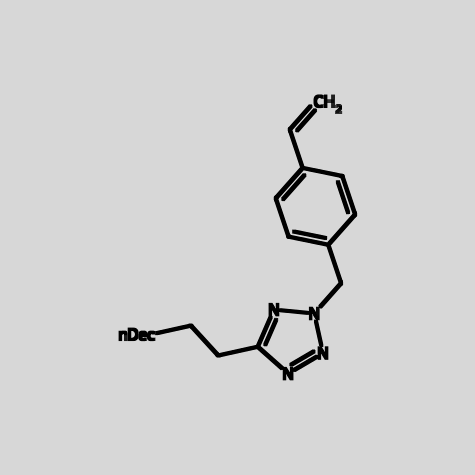 C=Cc1ccc(Cn2nnc(CCCCCCCCCCCC)n2)cc1